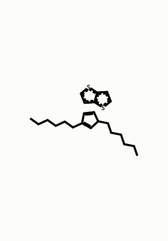 CCCCCCC1=CC(CCCCCC)C=C1.c1cc2sccc2s1